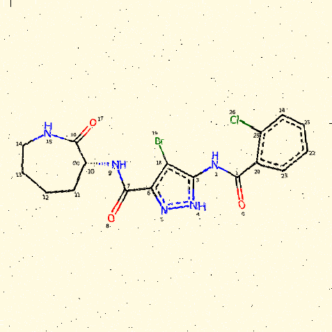 O=C(Nc1[nH]nc(C(=O)N[C@@H]2CCCCNC2=O)c1Br)c1ccccc1Cl